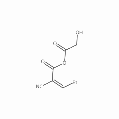 CCC=C(C#N)C(=O)OC(=O)CO